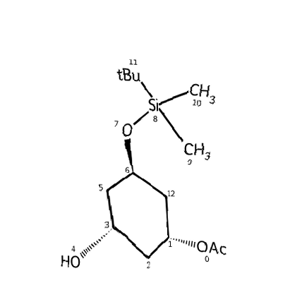 CC(=O)O[C@@H]1C[C@H](O)C[C@@H](O[Si](C)(C)C(C)(C)C)C1